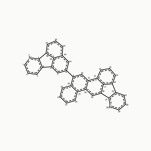 c1cnc2c(c1)-c1cc(-c3cc4c5cccc6c5c(cc4c4ccccc34)-c3ncccc3-6)cc3cccc-2c13